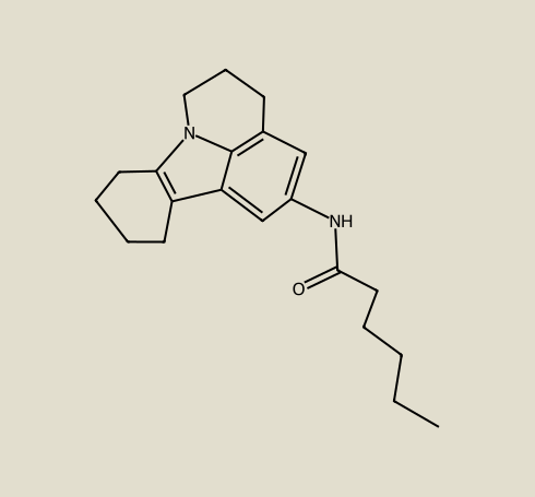 CCCCCC(=O)Nc1cc2c3c(c1)c1c(n3CCC2)CCCC1